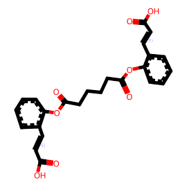 O=C(O)/C=C/c1ccccc1OC(=O)CCCCC(=O)Oc1ccccc1/C=C/C(=O)O